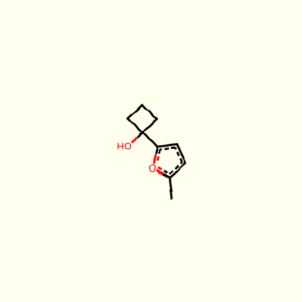 Cc1ccc(C2(O)CCC2)o1